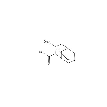 CC(C)(C)C(=O)C1C2CC3CC(C2)CC1([C]=O)C3